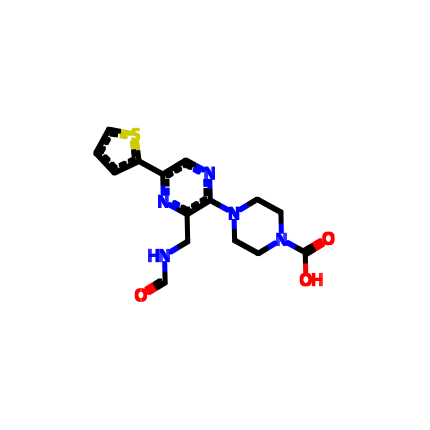 O=CNCc1nc(-c2cccs2)cnc1N1CCN(C(=O)O)CC1